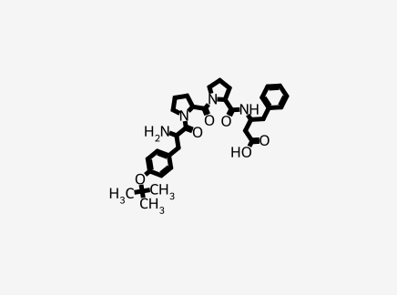 CC(C)(C)Oc1ccc(CC(N)C(=O)N2CCCC2C(=O)N2CCCC2C(=O)NC(CC(=O)O)Cc2ccccc2)cc1